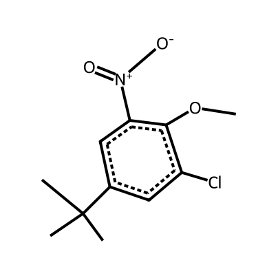 COc1c(Cl)cc(C(C)(C)C)cc1[N+](=O)[O-]